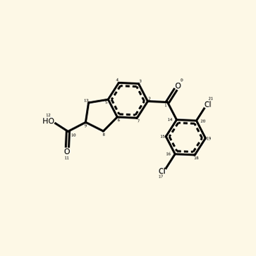 O=C(c1ccc2c(c1)CC(C(=O)O)C2)c1cc(Cl)ccc1Cl